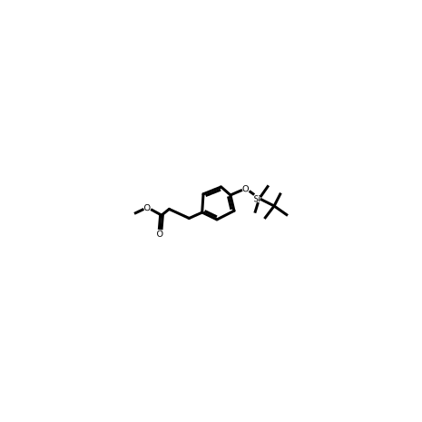 COC(=O)CCc1ccc(O[Si](C)(C)C(C)(C)C)cc1